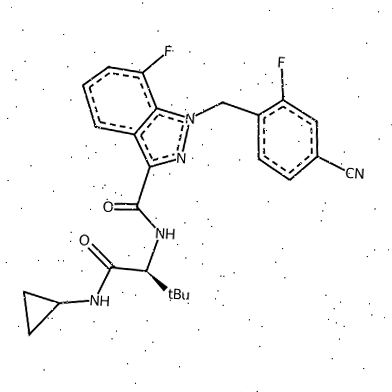 CC(C)(C)[C@H](NC(=O)c1nn(Cc2ccc(C#N)cc2F)c2c(F)cccc12)C(=O)NC1CC1